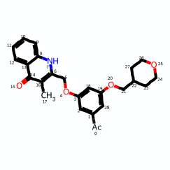 CC(=O)c1cc(OCc2[nH]c3ccccc3c(=O)c2C)cc(OCC2CCOCC2)c1